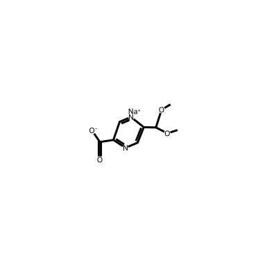 COC(OC)c1cnc(C(=O)[O-])cn1.[Na+]